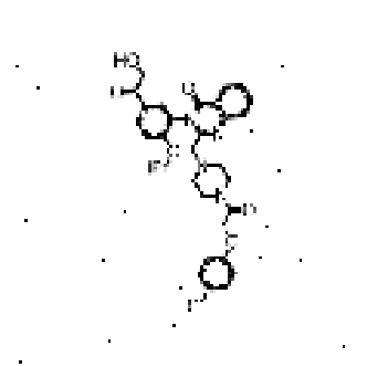 CC(C)Oc1ccc(C(=O)CO)cc1-n1c(CN2CCN(C(=O)COc3ccc(Cl)cc3)CC2)nc2ccccc2c1=O